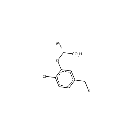 CC(C)[C@@H](Oc1cc(CBr)ccc1Cl)C(=O)O